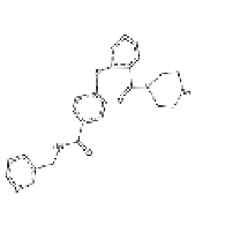 O=C(NCc1cccnc1)c1ccc2c(c1)N=C(N1CCNCC1)c1ccccc1S2